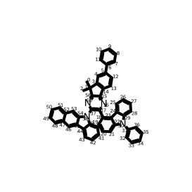 CC1(C)c2cc(-c3ccccc3)ccc2-c2nc(-c3cccc4c3c3ccccc3n4-c3ccccc3)c(-n3c4ccccc4c4cc5ccccc5cc43)nc21